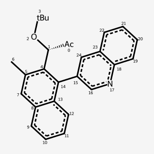 CC(=O)[C@@H](OC(C)(C)C)c1c(C)cc2ccccc2c1-c1cnc2ccccc2c1